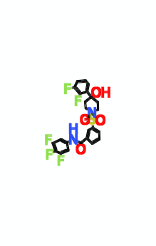 O=C(Nc1cc(F)c(F)c(F)c1)c1cccc(S(=O)(=O)N2CCC(O)(c3cccc(F)c3F)CC2)c1